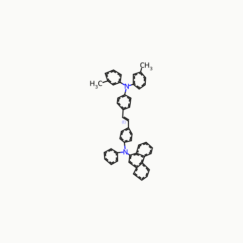 Cc1cccc(N(c2ccc(/C=C/c3ccc(N(c4ccccc4)c4cc5ccccc5c5ccccc45)cc3)cc2)c2cccc(C)c2)c1